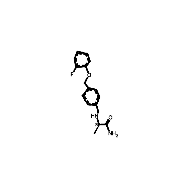 C[C@@H](NCc1ccc(COc2ccccc2F)cc1)C(N)=O